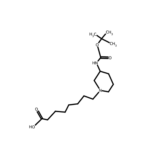 CC(C)(C)OC(=O)NC1CCCN(CCCCCCCC(=O)O)C1